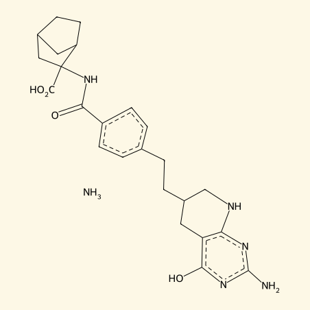 N.Nc1nc(O)c2c(n1)NCC(CCc1ccc(C(=O)NC3(C(=O)O)CC4CCC3C4)cc1)C2